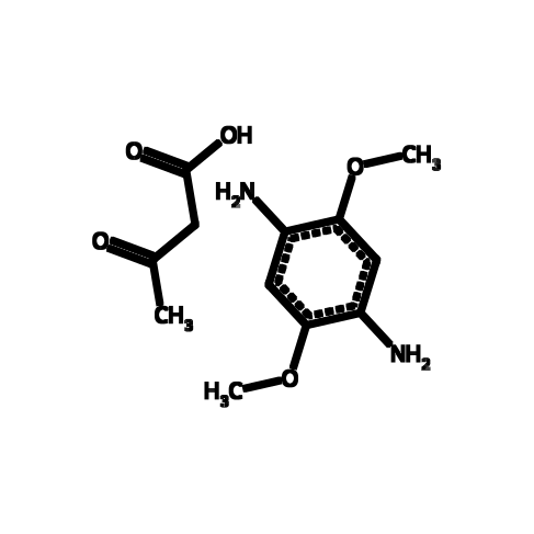 CC(=O)CC(=O)O.COc1cc(N)c(OC)cc1N